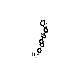 Pc1ccc(-c2ccc3cc(-c4ccc(-c5ccc6sc7ncccc7c6c5)nc4)ccc3c2)cc1